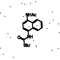 CC(=O)Nc1ccc(NC(=O)C(C)(C)C)c2ccccc12